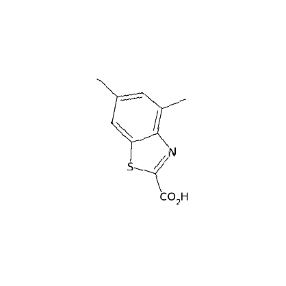 Cc1cc(C)c2nc(C(=O)O)sc2c1